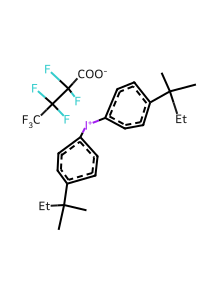 CCC(C)(C)c1ccc([I+]c2ccc(C(C)(C)CC)cc2)cc1.O=C([O-])C(F)(F)C(F)(F)C(F)(F)F